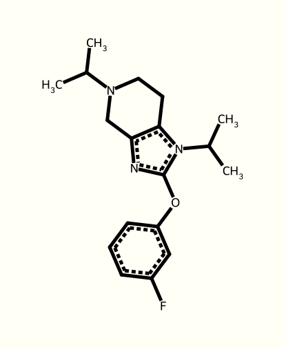 CC(C)N1CCc2c(nc(Oc3cccc(F)c3)n2C(C)C)C1